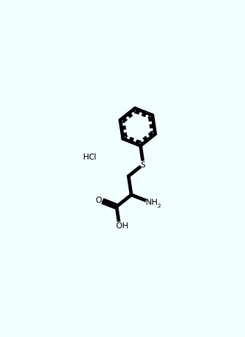 Cl.NC(CSc1ccccc1)C(=O)O